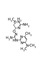 COCC(N=C(N)N)ON=C(N)Nc1nc(C)cc(N(C)C)n1